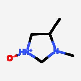 CC1C[NH+]([O-])CN1C